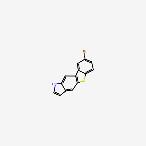 Brc1ccc2sc3cc4cc[nH]c4cc3c2c1